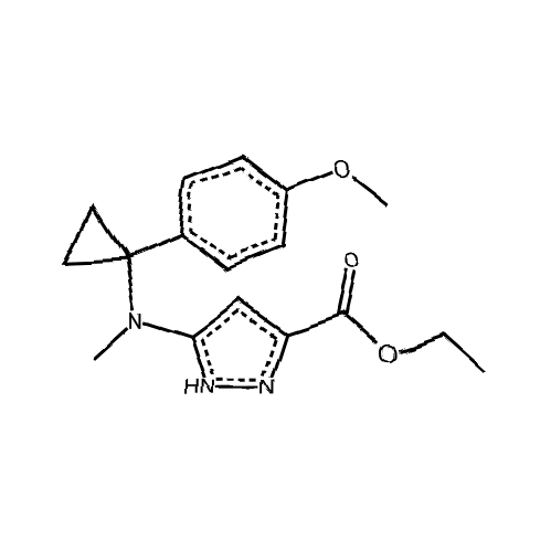 CCOC(=O)c1cc(N(C)C2(c3ccc(OC)cc3)CC2)[nH]n1